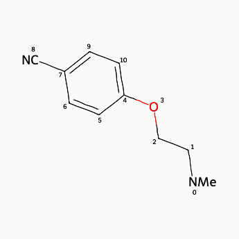 CNCCOc1ccc(C#N)cc1